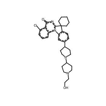 O=c1nc2n(c3cccc(Cl)c13)-c1cc(C3CCN(C4CCN(CCO)CC4)CC3)ccc1C21CCCCC1